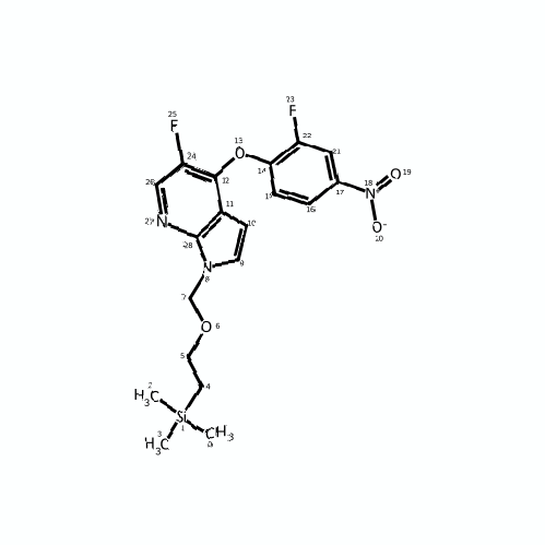 C[Si](C)(C)CCOCn1ccc2c(Oc3ccc([N+](=O)[O-])cc3F)c(F)cnc21